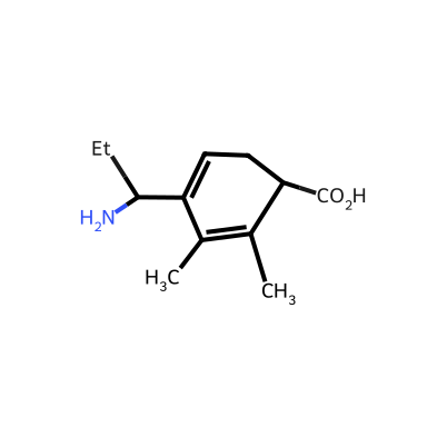 CCC(N)C1=CCC(C(=O)O)C(C)=C1C